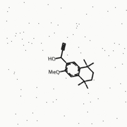 C#CC(O)c1cc2c(cc1OC)C(C)(C)CCC2(C)C